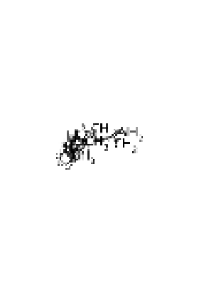 CC(C#CC[C@@H](C)[C@H]1CC[C@H]2[C@@H]3CCC4CCCC[C@]4(C)[C@H]3CC[C@]12C)CN